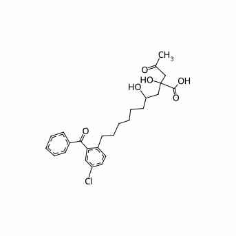 CC(=O)CC(O)(CC(O)CCCCCCc1ccc(Cl)cc1C(=O)c1ccccc1)C(=O)O